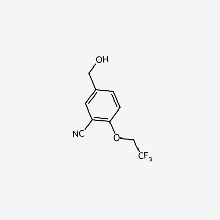 N#Cc1cc(CO)ccc1OCC(F)(F)F